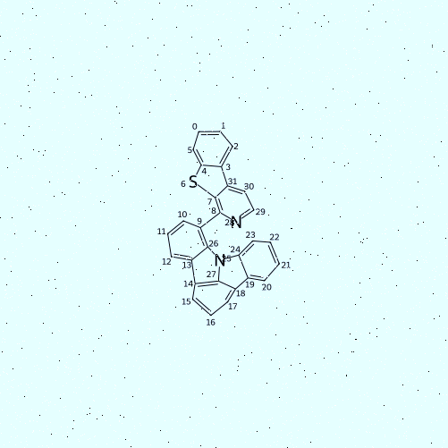 c1ccc2c(c1)sc1c(-c3cccc4c5cccc6c7ccccc7n(c34)c65)nccc12